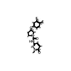 Cn1nc(NC(=O)N2CC[C@@H](Oc3ccc(F)c(F)c3)C2)ccc1=O